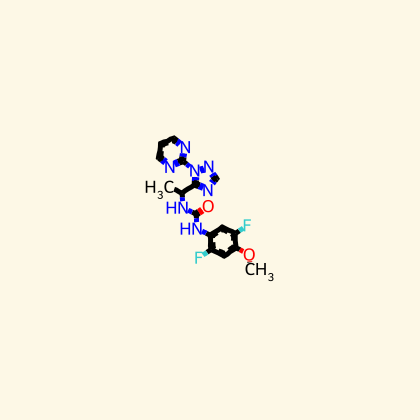 COc1cc(F)c(NC(=O)NC(C)c2ncnn2-c2ncccn2)cc1F